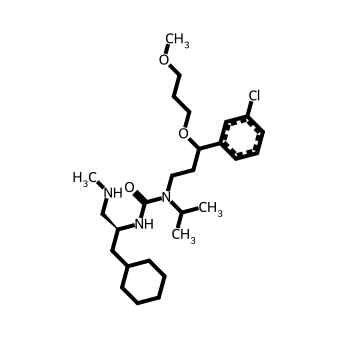 CNC[C@H](CC1CCCCC1)NC(=O)N(CCC(OCCCOC)c1cccc(Cl)c1)C(C)C